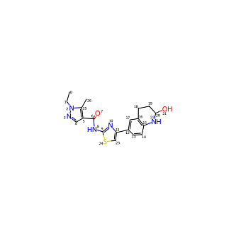 CCn1ncc(C(=O)Nc2nc(-c3ccc4c(c3)CCC(O)N4)cs2)c1C